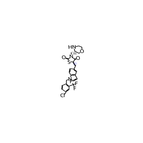 O=C1S/C(=C\c2ccc3c(ccn3Cc3ccc(Cl)cc3C(F)(F)F)c2)C(=O)N1C[C@H]1COCCN1